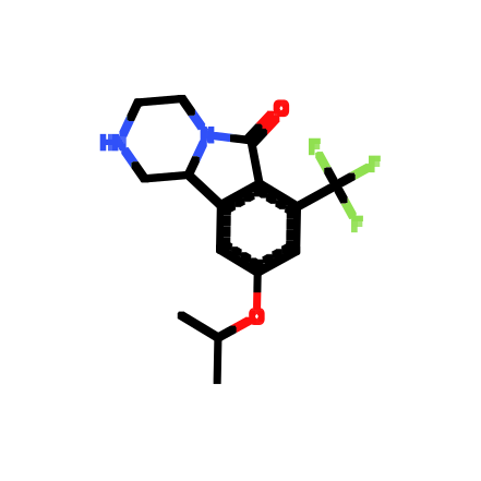 CC(C)Oc1cc2c(c(C(F)(F)F)c1)C(=O)N1CCNCC21